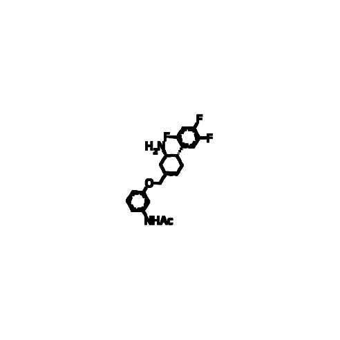 CC(=O)Nc1cccc(OCC2=CC[C@@H](c3cc(F)c(F)cc3F)[C@H](N)C2)c1